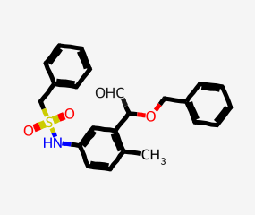 Cc1ccc(NS(=O)(=O)Cc2ccccc2)cc1C(C=O)OCc1ccccc1